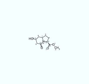 COC(=O)[C@@H]1CCC2CC(O)CC(=O)N21